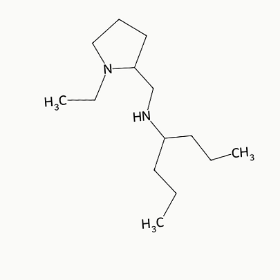 CCCC(CCC)NCC1CCCN1CC